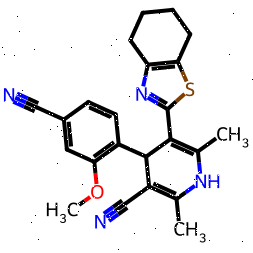 COc1cc(C#N)ccc1C1C(C#N)=C(C)NC(C)=C1c1nc2c(s1)CCCC2